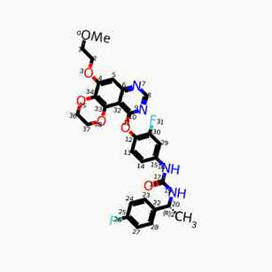 COCCOc1cc2ncnc(Oc3ccc(NC(=O)N[C@H](C)c4ccc(F)cc4)cc3F)c2c2c1OCCO2